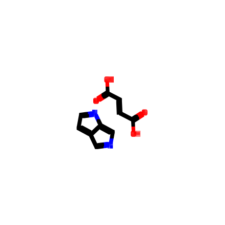 C1=NC=C2N=CC=C12.O=C(O)/C=C/C(=O)O